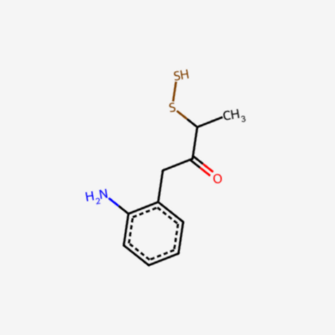 CC(SS)C(=O)Cc1ccccc1N